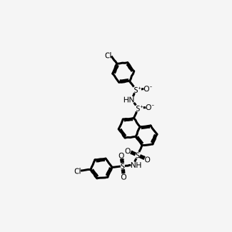 O=S(=O)(NS(=O)(=O)c1cccc2c([S+]([O-])N[S+]([O-])c3ccc(Cl)cc3)cccc12)c1ccc(Cl)cc1